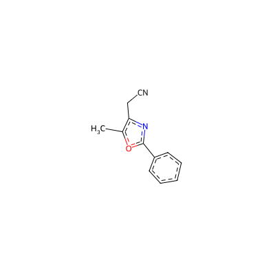 Cc1oc(-c2ccccc2)nc1CC#N